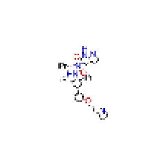 CC(C)CCN(C(=O)Nc1c(C(C)C)cc(-c2cccc(OCCCc3ccccn3)c2)cc1C(C)C)c1cc2cccnc2[nH]c1=O